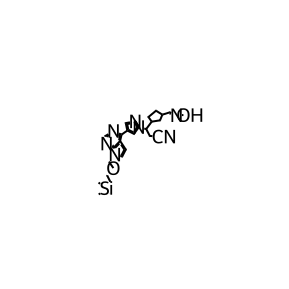 C[Si](C)(C)CCOCn1ccc2c(-c3cnn(C(CC#N)C4CCC(C=NO)C4)c3)ncnc21